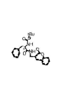 CC(C)(C)OC(=O)N[C@@H](Cc1ccccc1)C(=O)NCc1cc2ccccc2oc1=O